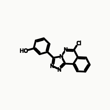 Oc1cccc(-c2nnc3c4ccccc4c(Cl)nn23)c1